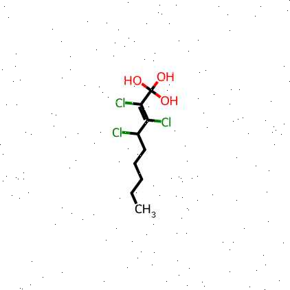 CCCCCC(Cl)C(Cl)=C(Cl)C(O)(O)O